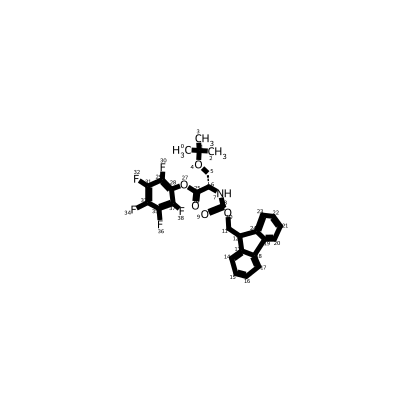 CC(C)(C)OC[C@H](NC(=O)OCC1c2ccccc2-c2ccccc21)C(=O)Oc1c(F)c(F)c(F)c(F)c1F